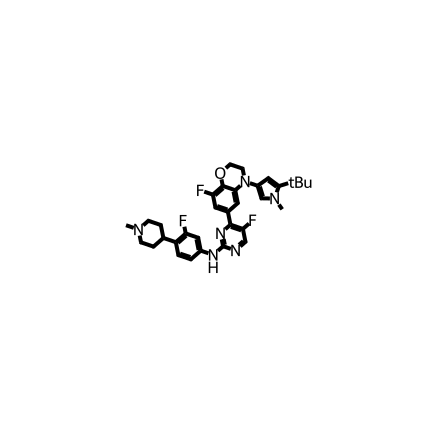 CN1CCC(c2ccc(Nc3ncc(F)c(-c4cc(F)c5c(c4)N(c4cc(C(C)(C)C)n(C)c4)CCO5)n3)cc2F)CC1